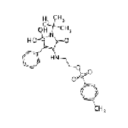 Cc1ccc(S(=O)(=O)OCCNC2=C(c3ccccc3)S(O)(O)N(C(C)(C)C)C2=O)cc1